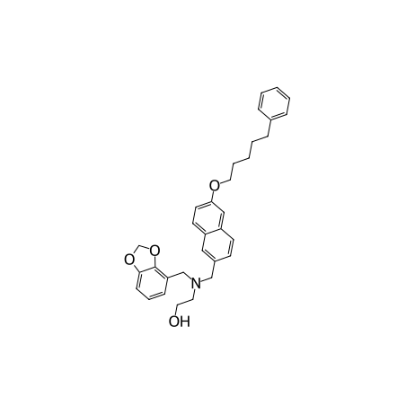 OCCN(Cc1ccc2cc(OCCCCCc3ccccc3)ccc2c1)Cc1cccc2c1OCO2